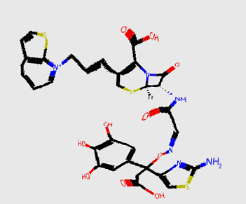 Nc1nc(C(O/N=C\C(=O)N[C@H]2C(=O)N3C(C(=O)O)=C(/C=C/C[n+]4cccc5ccsc54)CS[C@H]23)(C(=O)O)c2cc(O)c(O)c(O)c2)cs1